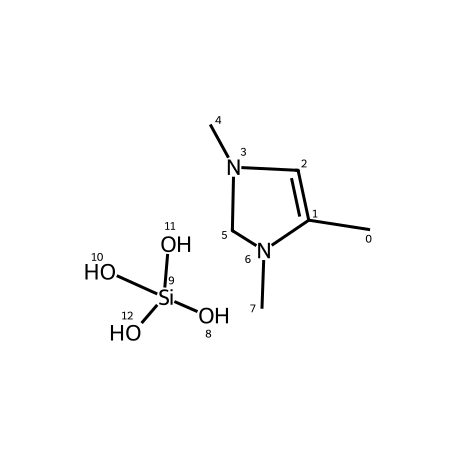 CC1=CN(C)CN1C.O[Si](O)(O)O